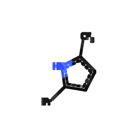 CC(C)c1ccc(C(F)(F)F)[nH]1